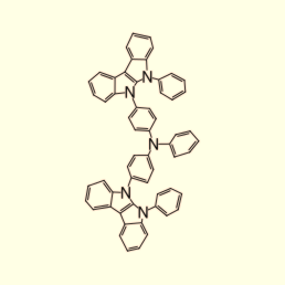 c1ccc(N(c2ccc(-n3c4ccccc4c4c5ccccc5n(-c5ccccc5)c43)cc2)c2ccc(-n3c4ccccc4c4c5ccccc5n(-c5ccccc5)c43)cc2)cc1